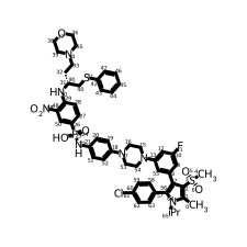 Cc1c(S(C)(=O)=O)c(-c2cc(F)cc(N3CCN(c4ccc(NP(=O)(O)c5ccc(N[C@H](CCN6CCOCC6)CSc6ccccc6)c([N+](=O)[O-])c5)cc4)CC3)c2)c(-c2ccc(Cl)cc2)n1C(C)C